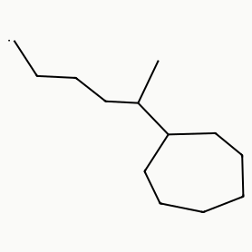 [CH2]CCCC(C)C1CCCCCC1